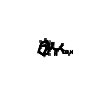 CC(NNC12CC3CC(CC(C3)C1)C2)C(=O)O